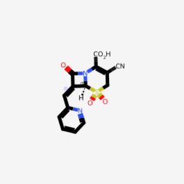 N#CC1=C(C(=O)O)N2C(=O)/C(=C/c3ccccn3)[C@@H]2S(=O)(=O)C1